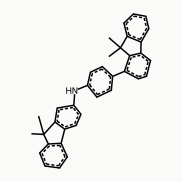 CC1(C)c2ccccc2-c2ccc(Nc3ccc(-c4cccc5c4C(C)(C)c4ccccc4-5)cc3)cc21